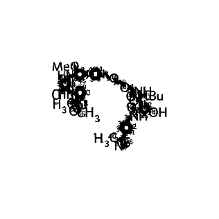 COc1cc(N2CCN(CCOCCOCC(=O)N[C@H](C(=O)N3C[C@H](O)C[C@@H]3C(=O)NCc3ccc(-c4scnc4C)cc3)C(C)(C)C)CC2)ccc1Nc1ncc(Cl)c(Nc2ccccc2N(C)S(C)(=O)=O)n1